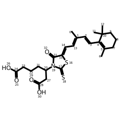 CC(C=CC1=C(C)CCCC1(C)C)=CC=C1SC(=S)N(C(CCCC(=O)O)CC(=O)O)C1=O